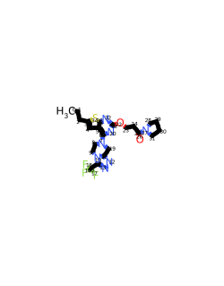 CCCc1cc2c(N3CCn4c(nnc4C(F)(F)F)C3)nc(OCCC(=O)N3CCCC3)nc2s1